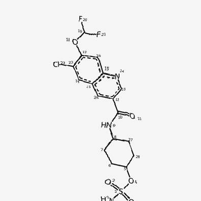 NS(=O)(=O)OC1CCC(NC(=O)c2cnc3cc(OC(F)F)c(Cl)cc3c2)CC1